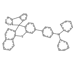 c1ccc(N(c2ccccc2)c2ccc(-c3ccc4c(c3)Sc3c(ccc5ccccc35)C43c4ccccc4-c4ccccc43)cc2)cc1